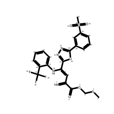 CSCOC(=O)C(=N)/C=C(\Nc1ccccc1C(F)(F)F)c1nnc(-c2cccc(S(C)(=O)=O)c2)o1